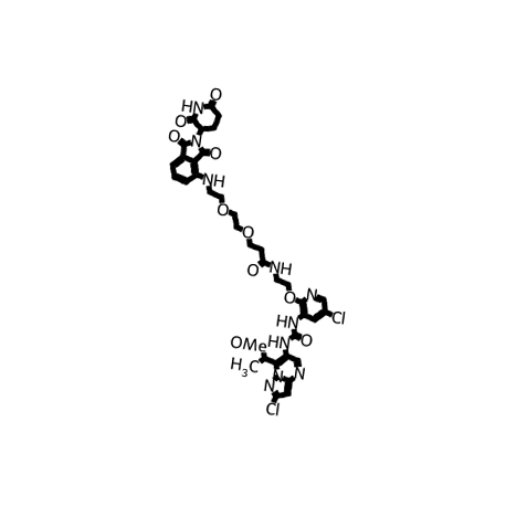 COC(C)c1c(NC(=O)Nc2cc(Cl)cnc2OCCNC(=O)CCOCCOCCNc2cccc3c2C(=O)N(C2CCC(=O)NC2=O)C3=O)cnc2cc(Cl)nn12